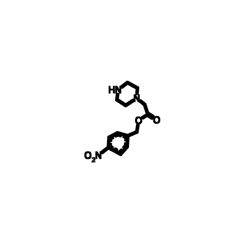 O=C(CN1CCNCC1)OCc1ccc([N+](=O)[O-])cc1